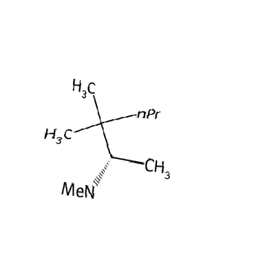 CCCC(C)(C)[C@H](C)NC